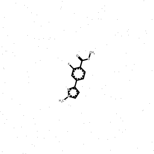 COC(=O)c1ccc(-c2ccn(C)n2)cc1F